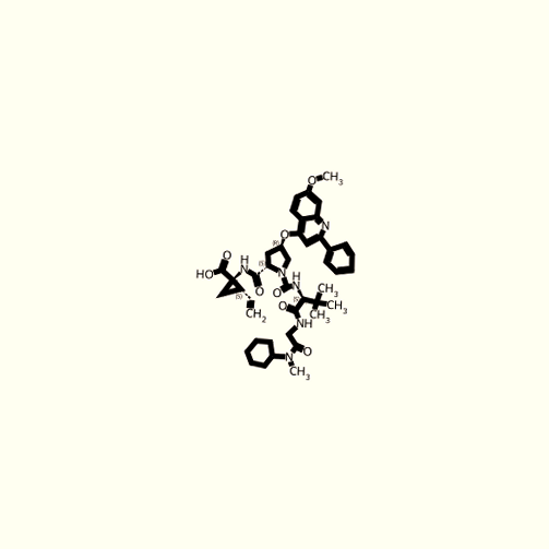 C=C[C@@H]1C[C@]1(NC(=O)[C@@H]1C[C@@H](Oc2cc(-c3ccccc3)nc3cc(OC)ccc23)CN1C(=O)N[C@H](C(=O)NCC(=O)N(C)C1CCCCC1)C(C)(C)C)C(=O)O